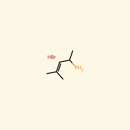 Br.CC(C)=CC(C)P